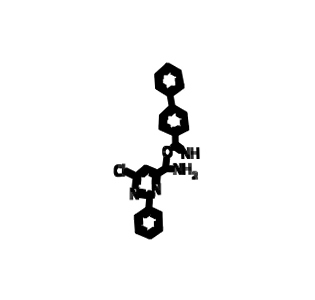 N=C(OC(N)c1cc(Cl)nc(-c2ccccc2)n1)c1ccc(-c2ccccc2)cc1